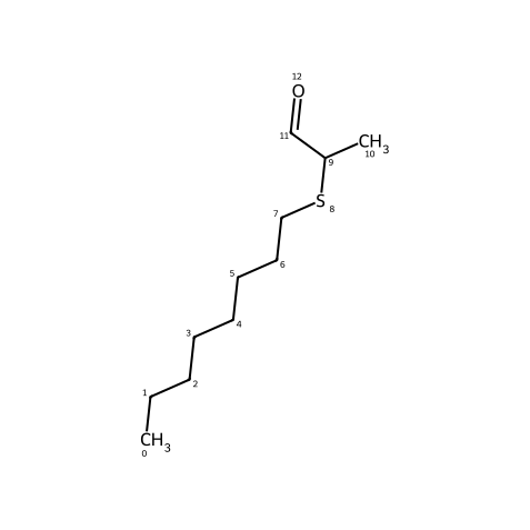 CCCCCCCCSC(C)C=O